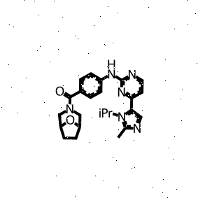 Cc1ncc(-c2ccnc(Nc3ccc(C(=O)N4CC5CCC(C4)O5)cc3)n2)n1C(C)C